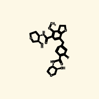 COc1c(C(=O)N[C@H]2CCOC[C@@H]2O)cc(Cc2ccc(C(=O)N[C@H]3CCOC[C@@H]3O)c(F)c2)c2c1CCO2